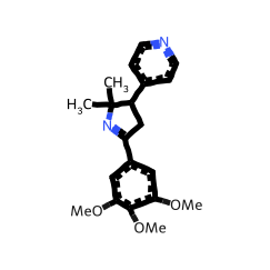 COc1cc(C2=NC(C)(C)C(c3ccncc3)C2)cc(OC)c1OC